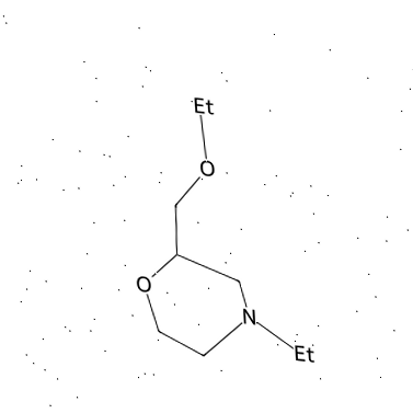 CCOCC1CN(CC)CCO1